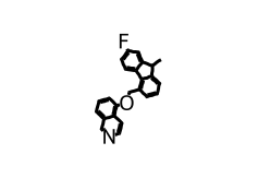 CC1c2cc(F)ccc2-c2c(COc3cccc4cnccc34)cccc21